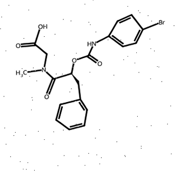 CN(CC(=O)O)C(=O)[C@H](Cc1ccccc1)OC(=O)Nc1ccc(Br)cc1